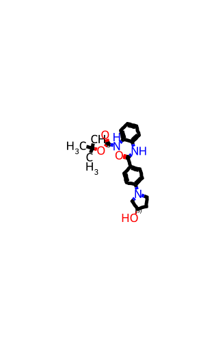 CC(C)(C)OC(=O)Nc1ccccc1NC(=O)c1ccc(N2CC[C@H](O)C2)cc1